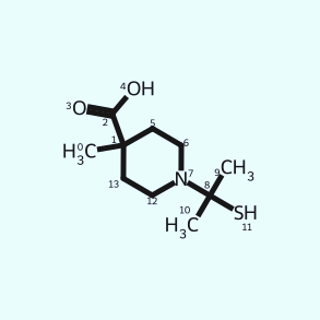 CC1(C(=O)O)CCN(C(C)(C)S)CC1